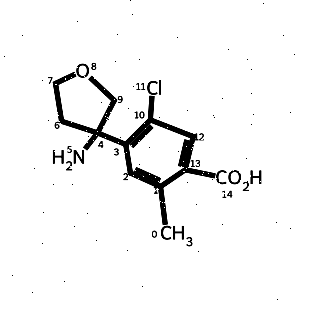 Cc1cc(C2(N)CCOC2)c(Cl)cc1C(=O)O